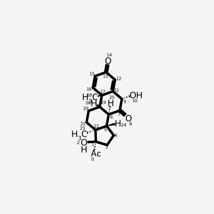 CC(=O)[C@@]1(O)CC[C@H]2[C@@H]3C(=O)[C@@H](O)C4=CC(=O)C=C[C@]4(C)[C@H]3CC[C@@]21C